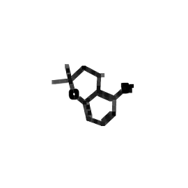 CC1(C)C[CH]c2c(Br)cccc2O1